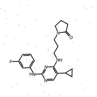 O=C1CCCN1CCCNc1nc(Nc2cccc(F)c2)ncc1C1CC1